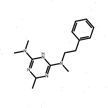 CC1N=C(N(C)C)NC(N(C)CCc2ccccc2)=N1